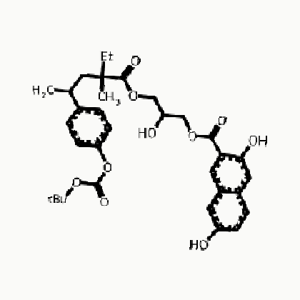 CCC(C)(CC(C)c1ccc(OC(=O)OC(C)(C)C)cc1)C(=O)OCC(O)COC(=O)c1cc2cc(O)ccc2cc1O